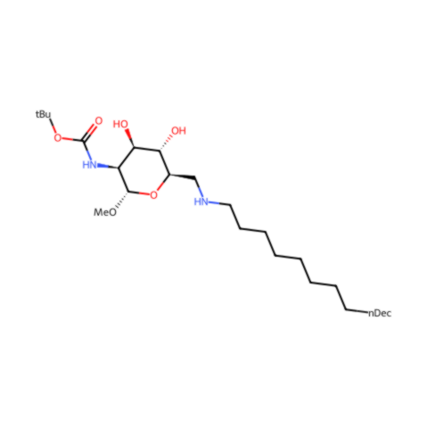 CCCCCCCCCCCCCCCCCCNC[C@H]1O[C@H](OC)[C@@H](NC(=O)OC(C)(C)C)[C@@H](O)[C@@H]1O